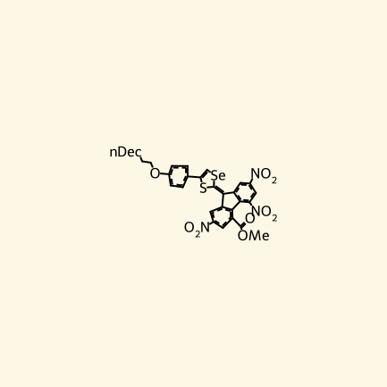 CCCCCCCCCCCCOc1ccc(C2=C[Se]C(=C3c4cc([N+](=O)[O-])cc(C(=O)OC)c4-c4c3cc([N+](=O)[O-])cc4[N+](=O)[O-])S2)cc1